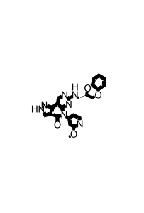 COc1cc(-n2c(=O)c3c[nH]nc3c3cnc(NC[C@H]4COc5ccccc5O4)nc32)ccn1